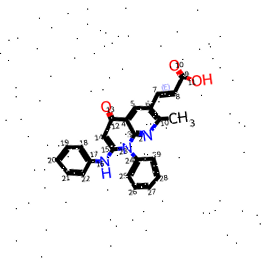 Cc1nc2c(cc1/C=C/C(=O)O)c(=O)cc(Nc1ccccc1)n2-c1ccccc1